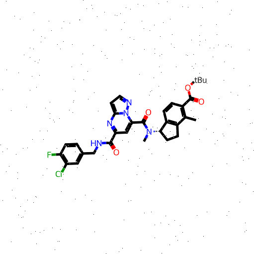 Cc1c(C(=O)OC(C)(C)C)ccc2c1CC[C@@H]2N(C)C(=O)c1cc(C(=O)NCc2ccc(F)c(Cl)c2)nc2ccnn12